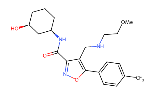 COCCNCc1c(C(=O)N[C@@H]2CCC[C@H](O)C2)noc1-c1ccc(C(F)(F)F)cc1